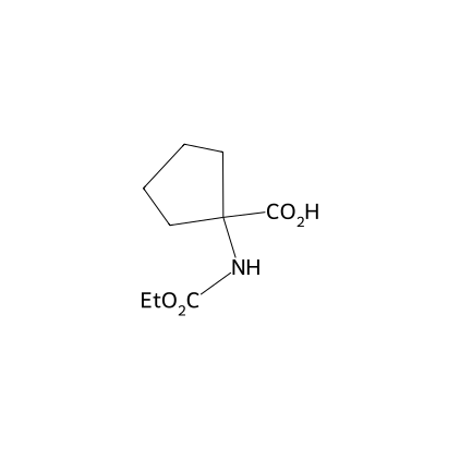 CCOC(=O)NC1(C(=O)O)CCCC1